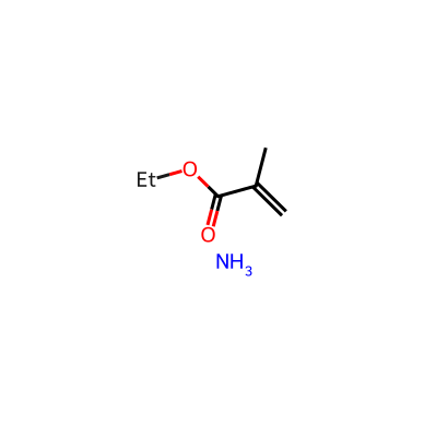 C=C(C)C(=O)OCC.N